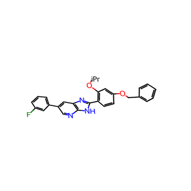 CC(C)Oc1cc(OCc2ccccc2)ccc1-c1nc2cc(-c3cccc(F)c3)cnc2[nH]1